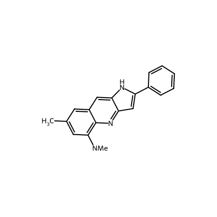 CNc1cc(C)cc2cc3[nH]c(-c4ccccc4)cc3nc12